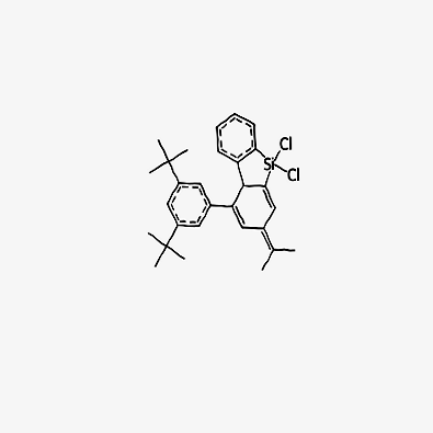 CC(C)=C1C=C(c2cc(C(C)(C)C)cc(C(C)(C)C)c2)C2C(=C1)[Si](Cl)(Cl)c1ccccc12